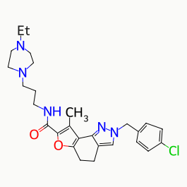 CCN1CCN(CCCNC(=O)c2oc3c(c2C)-c2nn(Cc4ccc(Cl)cc4)cc2CC3)CC1